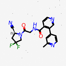 Cc1cc(-c2cnccc2C(=O)NCC(=O)N2CC(F)(F)C[C@H]2C#N)ccn1